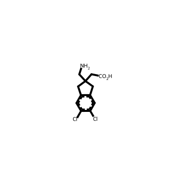 NCC1(CC(=O)O)Cc2cc(Cl)c(Cl)cc2C1